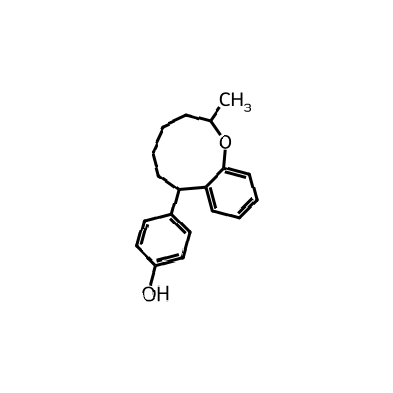 CC1CCCCC(c2ccc(O)cc2)c2ccccc2O1